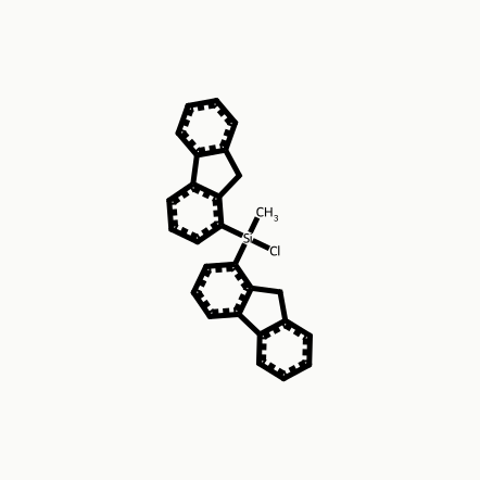 C[Si](Cl)(c1cccc2c1Cc1ccccc1-2)c1cccc2c1Cc1ccccc1-2